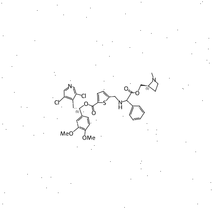 COc1ccc([C@H](Cc2c(Cl)cncc2Cl)OC(=O)c2ccc(CNC(C(=O)OC[C@@H]3CCN3C)c3ccccc3)s2)cc1OC